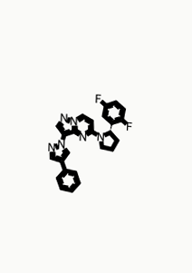 Fc1ccc(F)c([C@@H]2CCCN2c2ccn3ncc(-n4cc(-c5ccccc5)cn4)c3n2)c1